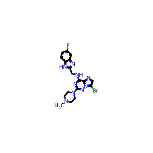 CN1CCN(c2nc(NCc3nc4cc(F)ccc4[nH]3)c3ncc(Br)n3n2)CC1